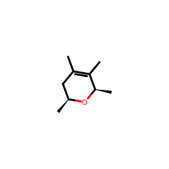 CC1=C(C)[C@@H](C)O[C@@H](C)C1